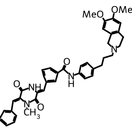 COc1cc2c(cc1OC)CN(CCCc1ccc(NC(=O)c3cccc(/C=c4\[nH]c(=O)/c(=C/c5ccccc5)n(C)c4=O)c3)cc1)CC2